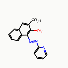 O=C(O)c1cc2ccccc2c(/N=N/c2ccccn2)c1O